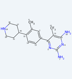 Cc1cc(-c2nc(N)nc(N)c2C(F)(F)F)ccc1C1CCNCC1